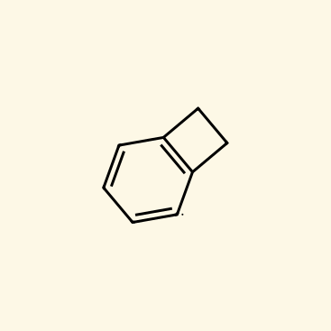 [c]1cccc2c1CC2